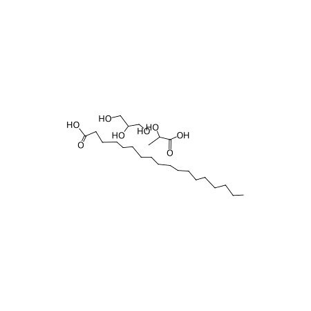 CC(O)C(=O)O.CCCCCCCCCCCCCCCCCC(=O)O.OCC(O)CO